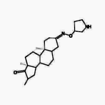 CC1CC2C3CCC4CC(=NOC5CCNC5)CC[C@]4(C)C3CC[C@]2(C)C1=O